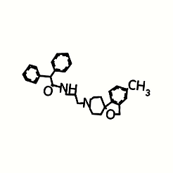 Cc1ccc2c(c1)COC21CCN(CCCNC(=O)C(c2ccccc2)c2ccccc2)CC1